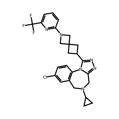 FC(F)(F)c1cccc(N2CC3(CC(c4nnc5n4-c4ccc(Cl)cc4CN(C4CC4)C5)C3)C2)n1